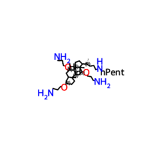 CCCCCNCCC[C@@H](C)C1CC[C@H]2C3[C@H](OCCCN)CC4C[C@H](OCCCN)CCC4(C)[C@H]3C[C@H](OCCCN)C12C